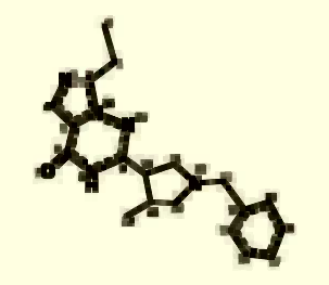 CCc1ncc2c(=O)[nH]c(C3CN(Cc4ccccc4)CC3C)nn12